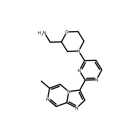 Cc1cn2c(-c3nccc(N4CCOC(CN)C4)n3)cnc2cn1